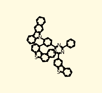 c1ccc(-c2nc(-c3ccc(-n4c5ccccc5c5cc6ccccc6cc54)c(-c4cccc5sc6ccc7ccccc7c6c45)c3)nc(-c3ccc4sc5ccccc5c4c3)n2)cc1